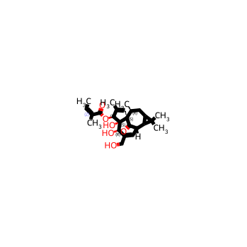 C/C=C(/C)C(=O)O[C@H]1C(C)=C[C@]23C(=O)[C@@H](C=C(CO)[C@@H](O)[C@]12O)C1C(C[C@H]3C)C1(C)C